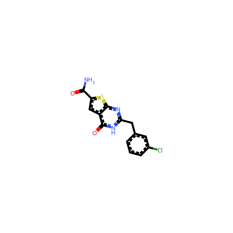 NC(=O)c1cc2c(=O)[nH]c(Cc3cccc(Cl)c3)nc2s1